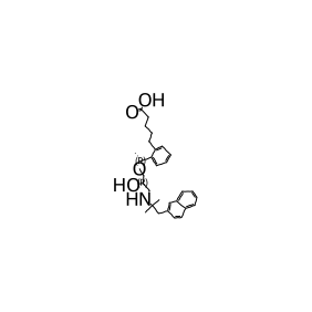 C[C@@H](OC[C@H](O)CNC(C)(C)Cc1ccc2ccccc2c1)c1ccccc1CCCCC(=O)O